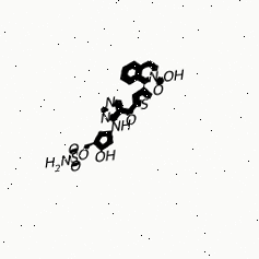 NS(=O)(=O)OC[C@H]1C[C@@H](Nc2ncncc2C(=O)c2cc([C@@H]3c4ccccc4CCN3C(=O)O)cs2)C[C@@H]1O